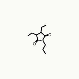 CCCN1C(=O)C(CC)C(CC)C1=O